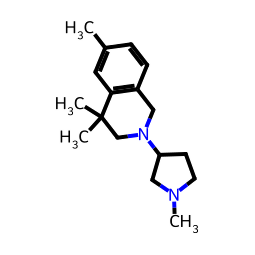 Cc1ccc2c(c1)C(C)(C)CN(C1CCN(C)C1)C2